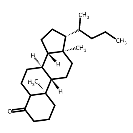 CCCC(C)[C@H]1CC[C@H]2[C@@H]3CCC4C(=O)CCC[C@]4(C)[C@H]3CC[C@]12C